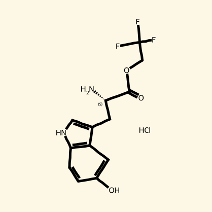 Cl.N[C@@H](Cc1c[nH]c2ccc(O)cc12)C(=O)OCC(F)(F)F